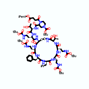 CCCC(C)OC(=O)CCC(=O)N1CCN(C(=O)OC(C)(C)C)CC1C(=O)N[C@H](C(=O)N[C@@H](CCNC(=O)OC(C)(C)C)C(=O)N[C@H]1CCNC(=O)[C@H]([C@H](C)O)NC(=O)[C@H](CCNC(=O)OC(C)(C)C)NC(=O)[C@H](CCNC(=O)OC(C)(C)C)NC(=O)[C@H](CC(C)C)NC(=O)[C@@H](Cc2ccccc2)NC(=O)[C@H](CCNC(=O)OC(C)(C)C)NC1=O)C(C)O